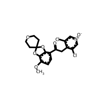 COc1ccc(C(=O)Cc2c(Cl)c[n+]([O-])cc2Cl)c2c1OC1(CCOCC1)O2